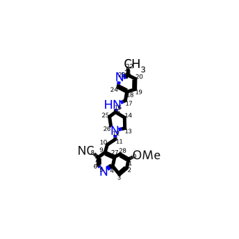 COc1ccc2ncc(C#N)c(CCN3CCC(NCc4ccc(C)nc4)CC3)c2c1